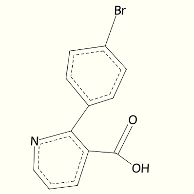 O=C(O)c1cccnc1-c1ccc(Br)cc1